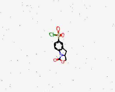 O=C1OCC2Cc3cc(S(=O)(=O)Cl)ccc3N12